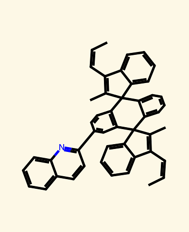 C/C=C\C1=C(C)C2(c3ccccc31)c1ccccc1C1(C(C)=C(/C=C\C)c3ccccc31)c1cc(-c3ccc4ccccc4n3)ccc12